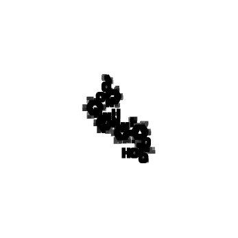 CCOc1cccnc1O[C@@H]1CCCN(c2cncc(Nc3cccc(-c4cc(OC(C)(C)C(=O)O)ccc4F)n3)n2)C1